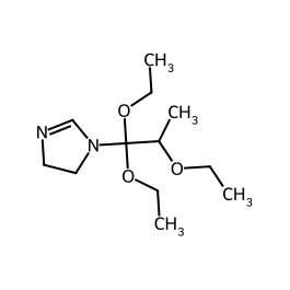 CCOC(C)C(OCC)(OCC)N1C=NCC1